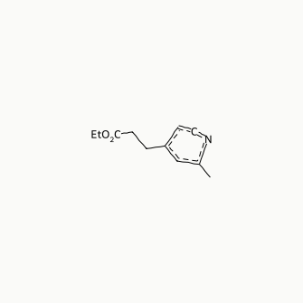 CCOC(=O)CCc1ccnc(C)c1